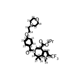 CC(C)OC(=O)C1=CN(C(=O)c2ccc(OCCN3CCOCC3)cc2)CC(C)(C)c2c1cc(C(F)(F)F)n2C